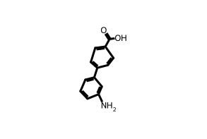 Nc1cccc(-c2ccc(C(=O)O)cc2)c1